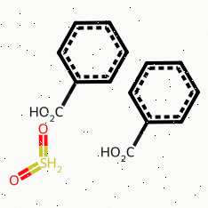 O=C(O)c1ccccc1.O=C(O)c1ccccc1.O=[SH2]=O